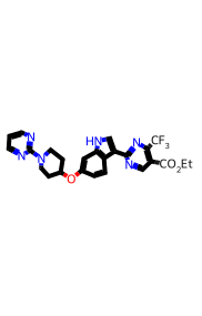 CCOC(=O)c1cnc(-c2c[nH]c3cc(OC4CCN(c5ncccn5)CC4)ccc23)nc1C(F)(F)F